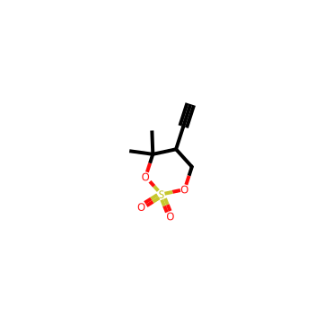 C#CC1COS(=O)(=O)OC1(C)C